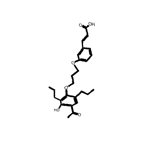 CCCc1cc(C(C)=O)c(O)c(CCC)c1OCCCOc1cccc(C=CC(=O)O)c1